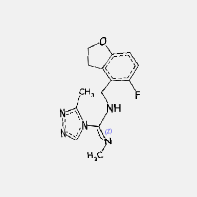 C/N=C(/NCc1c(F)ccc2c1CCO2)n1cnnc1C